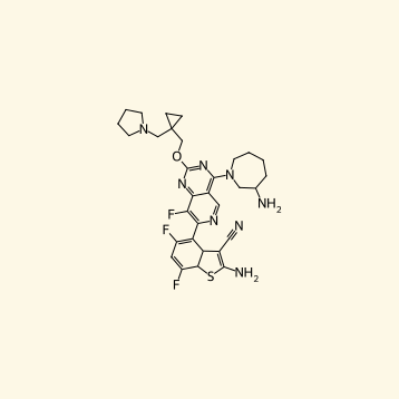 N#CC1=C(N)SC2C(F)=CC(F)=C(c3ncc4c(N5CCCCC(N)C5)nc(OCC5(CN6CCCC6)CC5)nc4c3F)C12